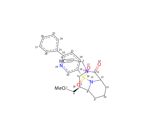 C#CCN1C[C@H](COC)C2CCCC(C1=O)N2S(=O)(=O)c1ccc(-c2ccccc2)nc1